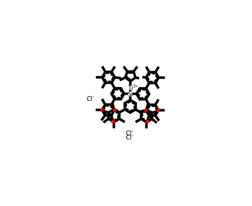 CC1=C(C)C(C)[C]([Ti+3][Si](c2cc(-c3c(C)c(C)c(C)c(C)c3C)cc(-c3c(C)c(C)c(C)c(C)c3C)c2)(c2cc(-c3c(C)c(C)c(C)c(C)c3C)cc(-c3c(C)c(C)c(C)c(C)c3C)c2)c2cc(-c3c(C)c(C)c(C)c(C)c3C)cc(-c3c(C)c(C)c(C)c(C)c3C)c2)=C1C.[Cl-].[Cl-].[Cl-]